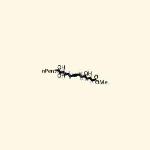 CCCCCC(O)C(O)/C=C/C=C/C#C/C=C/C(O)CCCC(=O)OC